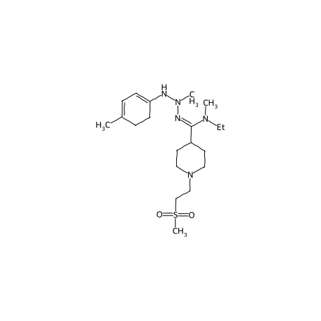 CCN(C)/C(=N\N(C)NC1=CC=C(C)CC1)C1CCN(CCS(C)(=O)=O)CC1